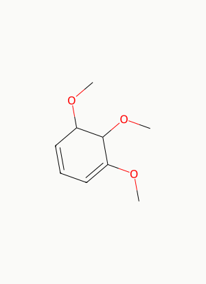 COC1=CC=CC(OC)C1OC